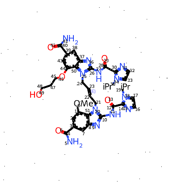 COc1cc(C(N)=O)cc2nc(NC(=O)c3nccn3C(C)C)n(C/C=C/Cn3c(NC(=O)c4nccn4C(C)C)nc4cc(C(N)=O)cc(OCCCO)c43)c12